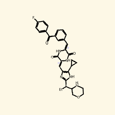 CCC(c1nc(/C=c2\[nH]c(=O)/c(=C/c3cccc(C(=O)c4ccc(F)cc4)c3)[nH]c2=O)c(C2CC2)[nH]1)C1COCCN1